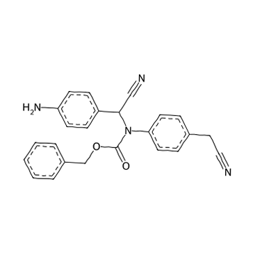 N#CCc1ccc(N(C(=O)OCc2ccccc2)C(C#N)c2ccc(N)cc2)cc1